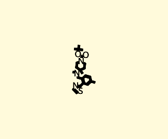 Cc1ccc(CN(C)C2(C)CCN(C(=O)OC(C)(C)C)CC2)c(-c2nccs2)c1